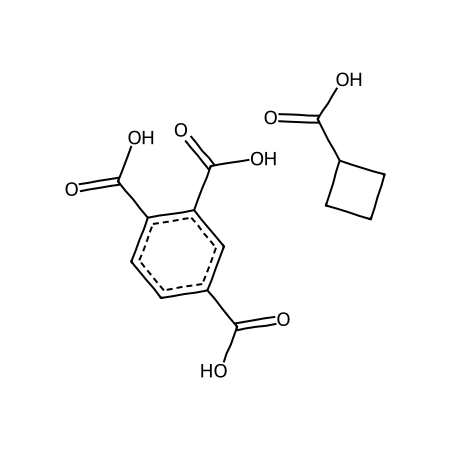 O=C(O)C1CCC1.O=C(O)c1ccc(C(=O)O)c(C(=O)O)c1